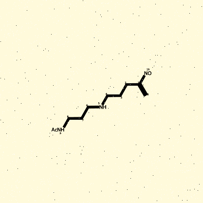 C=C(CCCNCCCNC(C)=O)N=O